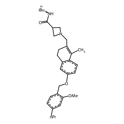 CCCc1ccc(COc2ccc3c(c2)CCC(CN2CC(C(=O)N[C@H](C)CC)C2)=C3C)c(OC)c1